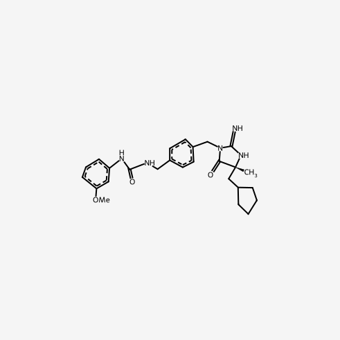 COc1cccc(NC(=O)NCc2ccc(CN3C(=N)N[C@](C)(CC4CCCC4)C3=O)cc2)c1